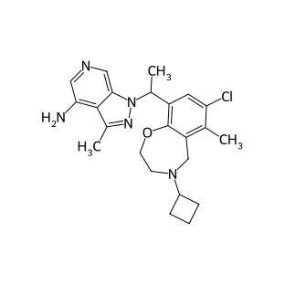 Cc1c(Cl)cc(C(C)n2nc(C)c3c(N)cncc32)c2c1CN(C1CCC1)CCO2